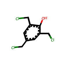 Oc1c(CCl)cc(CCl)cc1CCl